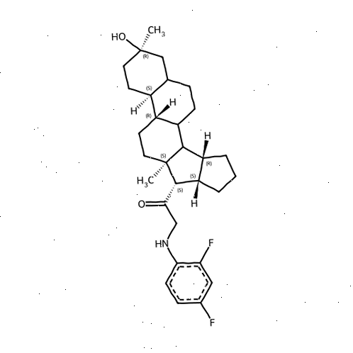 C[C@@]1(O)CC[C@H]2C(CCC3C4[C@@H]5CCC[C@@H]5[C@H](C(=O)CNc5ccc(F)cc5F)[C@@]4(C)CC[C@@H]32)C1